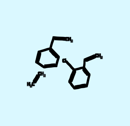 C=C.C=Cc1ccccc1.C=Cc1ccccc1Cl